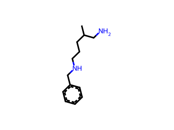 CC(CN)CCCNCc1ccccc1